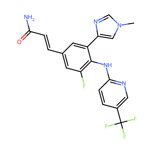 Cn1cnc(-c2cc(C=CC(N)=O)cc(F)c2Nc2ccc(C(F)(F)F)cn2)c1